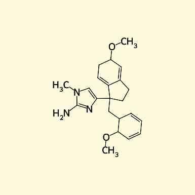 COC1C=C2CCC(CC3C=CC=CC3OC)(c3cn(C)c(N)n3)C2=CC1